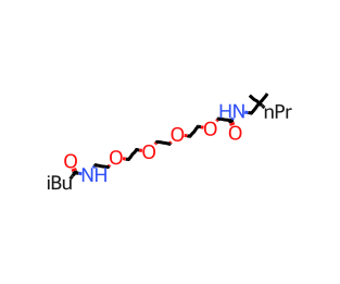 CCCC(C)(C)CNC(=O)COCCOCCOCCOCCNC(=O)C(C)CC